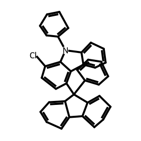 Clc1ccc(C2(c3ccccc3)c3ccccc3-c3ccccc32)c2c3ccccc3n(-c3ccccc3)c12